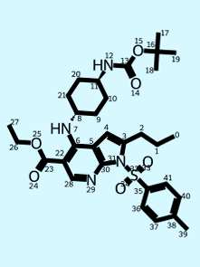 CCCc1cc2c(N[C@H]3CC[C@H](NC(=O)OC(C)(C)C)CC3)c(C(=O)OCC)cnc2n1S(=O)(=O)c1ccc(C)cc1